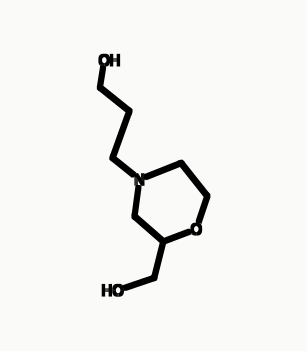 OCCCN1CCOC(CO)C1